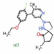 CCOc1ccc(F)c(-c2cc(N3CC[C@@]4(CCC(C)C4=O)N3)ncc2C)c1.Cl